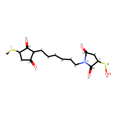 CSC1CC(=O)C(CCCCCCN2C(=O)CC(SO)C2=O)C1=O